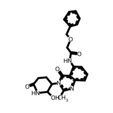 Cc1nc2cccc(NC(=O)COCc3ccccc3)c2c(=O)n1C1CCC(=O)NC1O